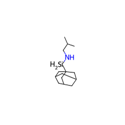 CC(C)CN[SiH2]C12CC3CC(CC(C3)C1)C2